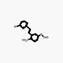 O=COc1ccc(C(=O)O)c(/C=C/c2cccc(Br)c2)c1